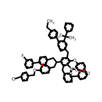 CCc1ccc(-c2ccc(Cc3cc([C](Cc4ccc(OCc5ccc(Cl)cc5)cc4)Cc4ccc(-c5cccc(F)c5)cc4)c(Cc4cccc(-c5ccccc5)c4)c([N+](=O)[O-])c3Oc3ccc(Cl)cc3)cc2C(C)(C)c2ccccc2)cc1